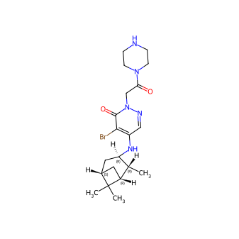 C[C@@H]1[C@H]2C[C@@H](C[C@H]1Nc1cnn(CC(=O)N3CCNCC3)c(=O)c1Br)C2(C)C